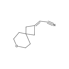 N#CC=C1CC2(CCOCC2)C1